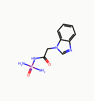 NP(N)(=O)NC(=O)Cn1cnc2ccccc21